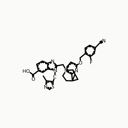 Cc1ncsc1Cn1c(CN2CCC3(c4cccc(OCc5ccc(C#N)cc5F)n4)CC3C2)nc2ccc(C(=O)O)cc21